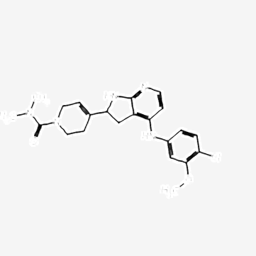 COc1cc(Nc2ccnc3c2CC(C2=CCN(C(=O)N(C)C)CC2)N3)ccc1Cl